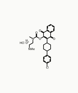 CNCCN(C)C(=O)OC1=C(C2CCC(c3ccc(Cl)cc3)CC2)C(=O)c2ccccc2C1=O.Cl.O